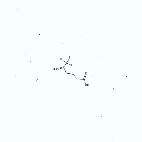 C=C(CCCC(=O)O)C(F)(F)F